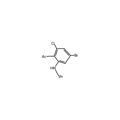 CC(=O)c1c(Cl)cc(Br)cc1NC(C)C